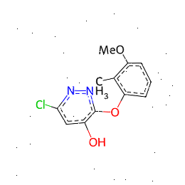 COc1cccc(Oc2nnc(Cl)cc2O)c1C